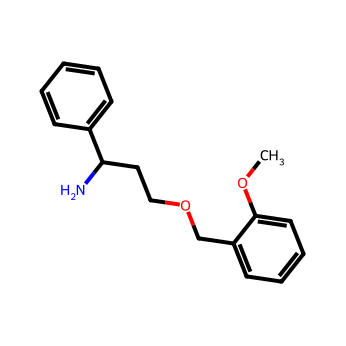 COc1ccccc1COCCC(N)c1ccccc1